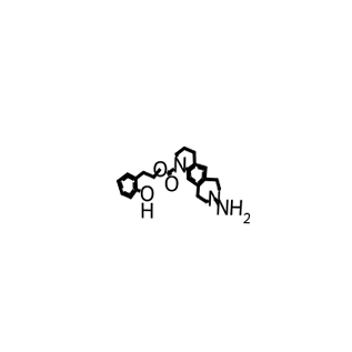 NN1CCc2cc3c(cc2CC1)N(C(=O)OCCc1ccccc1O)CCC3